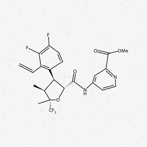 C=Cc1c([C@H]2[C@H](C(=O)Nc3ccnc(C(=O)OC)c3)O[C@](C)(C(F)(F)F)[C@H]2C)ccc(F)c1F